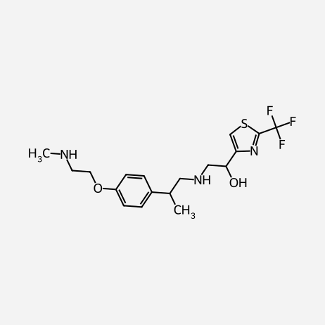 CNCCOc1ccc(C(C)CNCC(O)c2csc(C(F)(F)F)n2)cc1